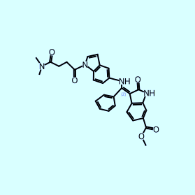 COC(=O)c1ccc2c(c1)NC(=O)/C2=C(\Nc1ccc2c(ccn2C(=O)CCC(=O)N(C)C)c1)c1ccccc1